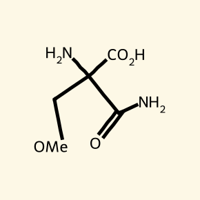 COCC(N)(C(N)=O)C(=O)O